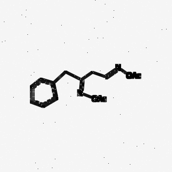 CC(=O)ON=CCC(Cc1ccccc1)=NOC(C)=O